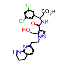 O=C(O)CC(NC(=O)c1cnn(CCc2ccc3c(n2)NCCC3)c1CO)c1cc(Cl)cc(Cl)c1